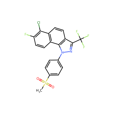 CS(=O)(=O)c1ccc(-n2nc(C(F)(F)F)c3ccc4c(Cl)c(F)ccc4c32)cc1